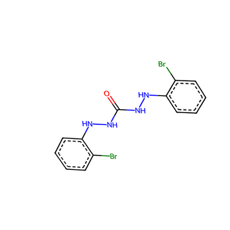 O=C(NNc1ccccc1Br)NNc1ccccc1Br